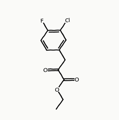 CCOC(=O)C(=O)Cc1ccc(F)c(Cl)c1